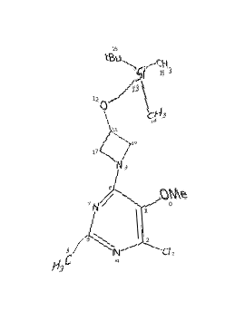 COc1c(Cl)nc(C)nc1N1CC(O[Si](C)(C)C(C)(C)C)C1